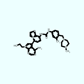 CN1CCN(Cc2ccc(NC(=O)Nc3ccc(-c4cn(CCO)c5ncnc(N)c45)n4ccnc34)cc2C(F)(F)F)CC1